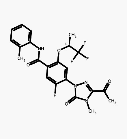 CC(=O)c1nn(-c2cc(O[C@@H](C)C(F)(F)F)c(C(=O)Nc3ccccc3C)cc2F)c(=O)n1C